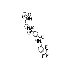 C=CS(=O)(=O)NCC1CCN(S(=O)(=O)c2ccc(C(=O)NCc3cccc(C(F)(F)F)c3F)cc2)C1